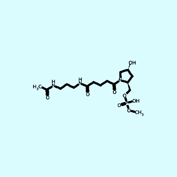 COP(=O)(O)OC[C@@H]1C[C@@H](O)CN1C(=O)CCCC(=O)NCCCNC(C)=O